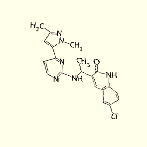 Cc1cc(-c2ccnc(NC(C)c3cc4cc(Cl)ccc4[nH]c3=O)n2)n(C)n1